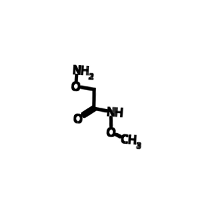 CONC(=O)CON